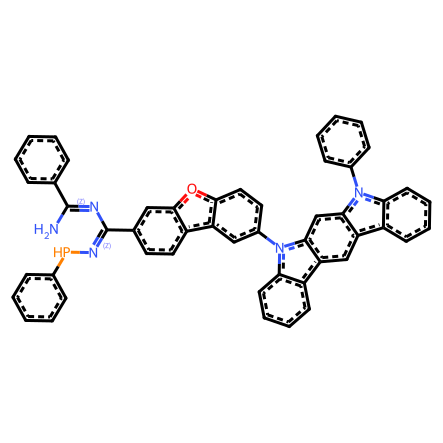 N/C(=N\C(=N/Pc1ccccc1)c1ccc2c(c1)oc1ccc(-n3c4ccccc4c4cc5c6ccccc6n(-c6ccccc6)c5cc43)cc12)c1ccccc1